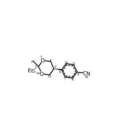 CC[C@]1(C)OC[C@@H](c2ccc(C#N)cc2)CO1